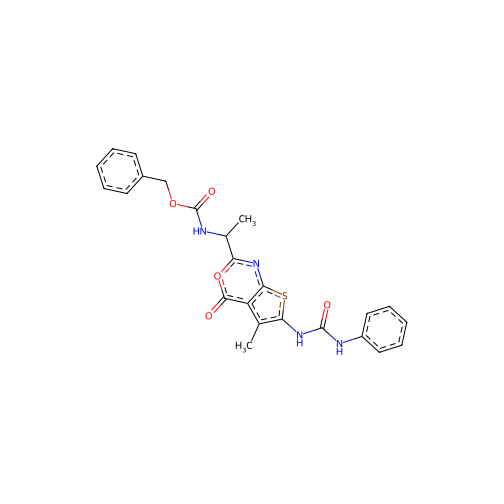 Cc1c(NC(=O)Nc2ccccc2)sc2nc(C(C)NC(=O)OCc3ccccc3)oc(=O)c12